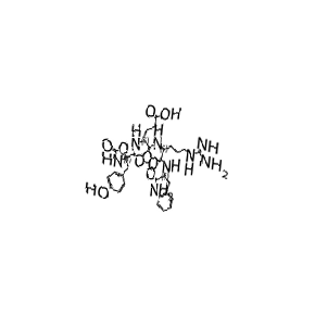 N=C(N)NCCC[C@H](NC(=O)[C@H](CCC(=O)O)NC(=O)[C@]1(Cc2ccc(O)cc2)NC(=O)O1)C(=O)N[C@@H](Cc1ccccc1)C(N)=O